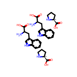 NC(Cc1c[nH]c2ccccc12)C(=O)O.NC(Cc1c[nH]c2ccccc12)C(=O)O.O=C(O)[C@@H]1CCCN1.O=C(O)[C@@H]1CCCN1